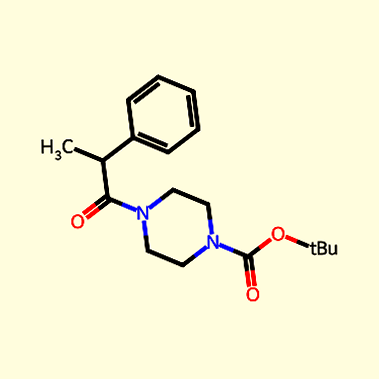 CC(C(=O)N1CCN(C(=O)OC(C)(C)C)CC1)c1ccccc1